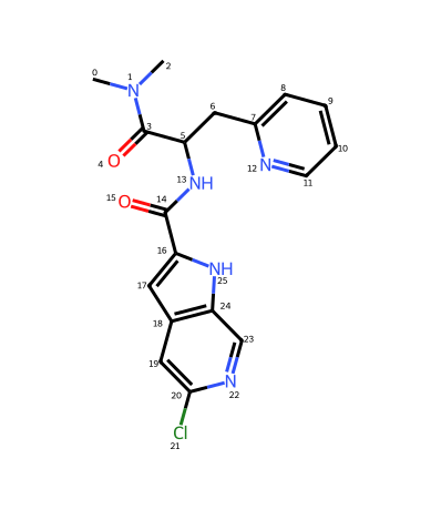 CN(C)C(=O)C(Cc1ccccn1)NC(=O)c1cc2cc(Cl)ncc2[nH]1